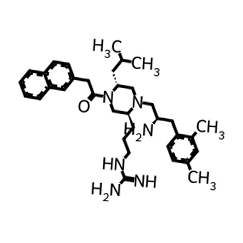 Cc1ccc(C[C@@H](N)CN2C[C@@H](CC(C)C)N(C(=O)Cc3ccc4ccccc4c3)C[C@@H]2CCCNC(=N)N)c(C)c1